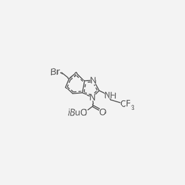 CC(C)COC(=O)n1c(NCC(F)(F)F)nc2cc(Br)ccc21